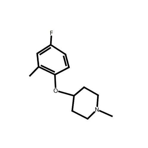 Cc1cc(F)ccc1OC1CCN(C)CC1